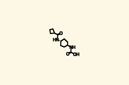 O=C(O)N[C@H]1CC[C@H](NC(=O)C2CCC2)CC1